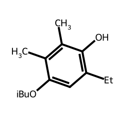 CCc1cc(OCC(C)C)c(C)c(C)c1O